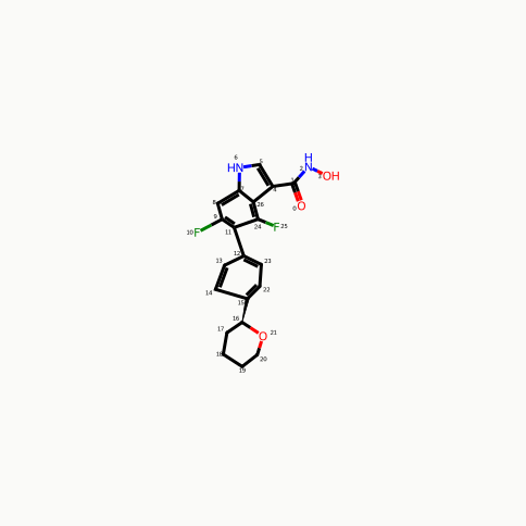 O=C(NO)c1c[nH]c2cc(F)c(-c3ccc([C@@H]4CCCCO4)cc3)c(F)c12